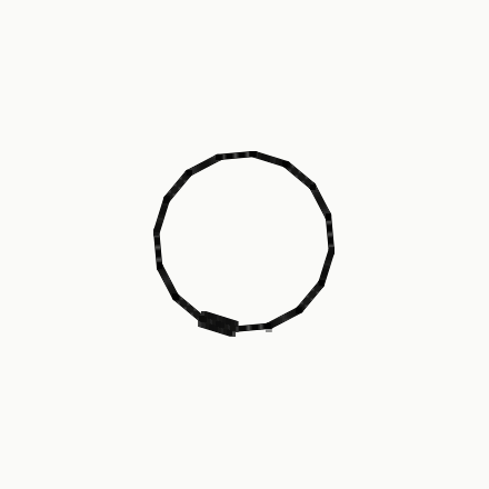 C1#CCCCCCCCCCCCCC[CH]1